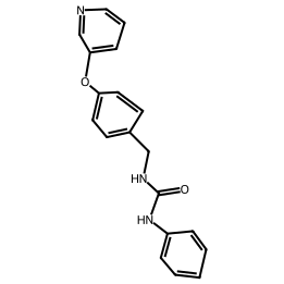 O=C(NCc1ccc(Oc2cccnc2)cc1)Nc1ccccc1